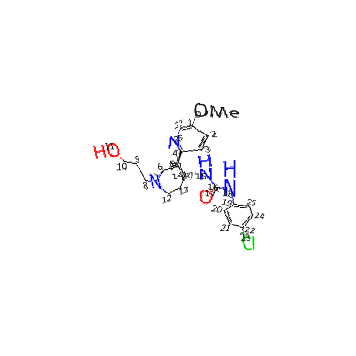 COc1ccc([C@@H]2CN(CCCO)CC[C@H]2NC(=O)Nc2ccc(Cl)cc2)nc1